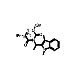 Cc1c(C(C)N(C(=O)OC(C)(C)C)C(=O)[C@@H](N)C(C)C)n(C)c2ccccc12